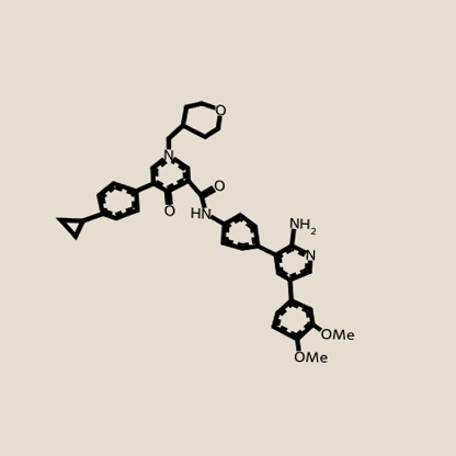 COc1ccc(-c2cnc(N)c(-c3ccc(NC(=O)c4cn(CC5CCOCC5)cc(-c5ccc(C6CC6)cc5)c4=O)cc3)c2)cc1OC